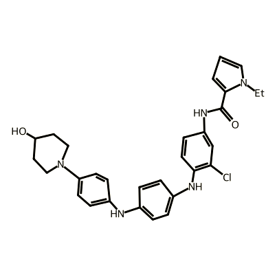 CCn1cccc1C(=O)Nc1ccc(Nc2ccc(Nc3ccc(N4CCC(O)CC4)cc3)cc2)c(Cl)c1